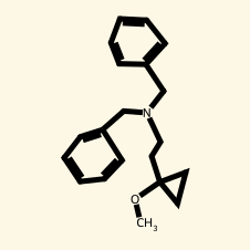 COC1(CCN(Cc2ccccc2)Cc2ccccc2)CC1